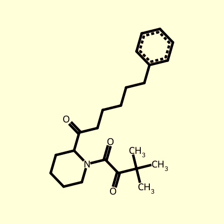 CC(C)(C)C(=O)C(=O)N1CCCCC1C(=O)CCCCCc1ccccc1